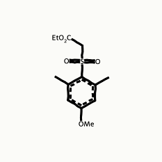 CCOC(=O)CS(=O)(=O)c1c(C)cc(OC)cc1C